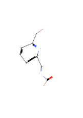 O=C(O)NCc1cccc(CO)n1